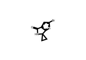 O=C1NC2(CC2)c2sc(Br)cc21